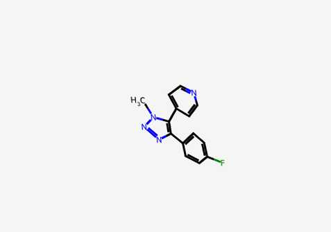 Cn1nnc(-c2ccc(F)cc2)c1-c1ccncc1